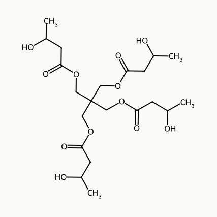 CC(O)CC(=O)OCC(COC(=O)CC(C)O)(COC(=O)CC(C)O)COC(=O)CC(C)O